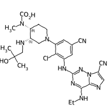 CCNc1nc(Nc2cc(C#N)cc(N3CC[C@@H](N(C)C(=O)O)[C@@H](NCC(C)(C)O)C3)c2Cl)nn2c(C#N)cnc12